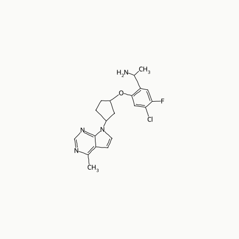 Cc1ncnc2c1ccn2C1CCC(Oc2cc(Cl)c(F)cc2C(C)N)C1